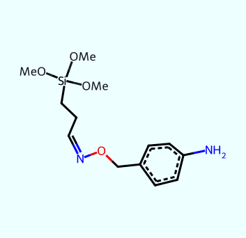 CO[Si](CC/C=N\OCc1ccc(N)cc1)(OC)OC